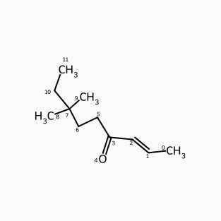 C/C=C/C(=O)CCC(C)(C)CC